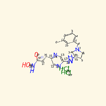 Cc1cccc(CN2CC[C@@H](Nc3cnc(/C=C/C(=O)NO)cn3)C2)c1.Cl.Cl